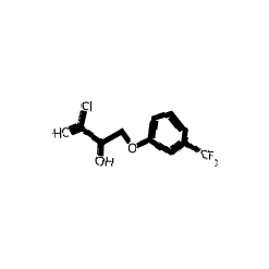 [CH]=C(Cl)C(O)COc1cccc(C(F)(F)F)c1